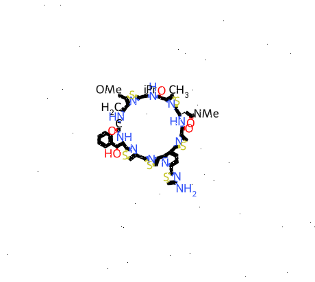 C=C1NCC(=O)N[C@@H]([C@@H](O)c2ccccc2)c2nc(cs2)-c2nc(cs2)-c2nc(-c3nc(N)cs3)ccc2-c2nc(cs2)C(=O)N[C@@H](CC(=O)NC)c2nc(c(C)s2)C(=O)NC(C(C)C)c2nc1c(COC)s2